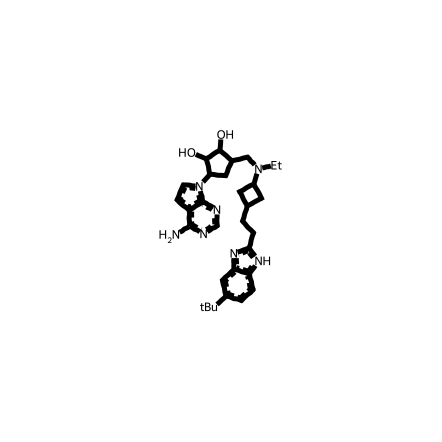 CCN(CC1CC(n2ccc3c(N)ncnc32)C(O)C1O)C1CC(CCc2nc3cc(C(C)(C)C)ccc3[nH]2)C1